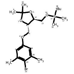 Cc1cc(OC[C@@H]2OC(C)(C)O[C@H]2CO[Si](C)(C)C(C)(C)C)cc(C)c1Br